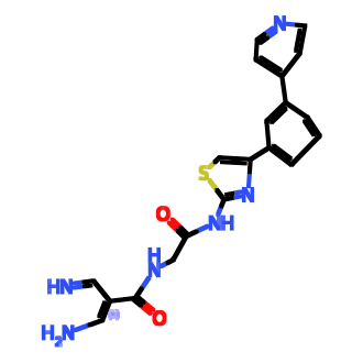 N=C/C(=C\N)C(=O)NCC(=O)Nc1nc(-c2cccc(-c3ccncc3)c2)cs1